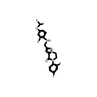 O=C1c2cc(CNc3ccc(OC(F)F)cc3F)nn2CCN1c1ccc(F)cc1F